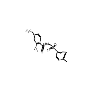 Cc1ccc(S(=O)(=O)NC(=O)c2ccc(C(F)(F)F)cc2C(F)(F)F)cc1